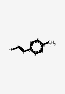 Cc1ccc(C=CF)cc1